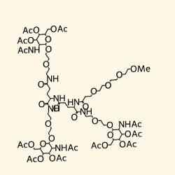 COCCOCCOCCOCCC(=O)NC(CCC(=O)NC(CCC(=O)NCCOCCOC1OC(COC(C)=O)C(OC(C)=O)C(OC(C)=O)C1NC(C)=O)C(=O)NCCOCCOC1OC(COC(C)=O)C(OC(C)=O)C(OC(C)=O)C1NC(C)=O)C(=O)NCCOCCOC1OC(COC(C)=O)C(OC(C)=O)C(OC(C)=O)C1NC(C)=O